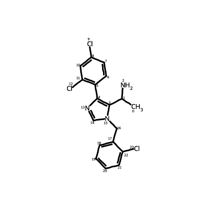 CC(N)c1c(-c2ccc(Cl)cc2Cl)ncn1Cc1ccccc1Cl